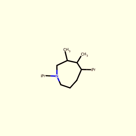 CC(C)C1CCCN(C(C)C)CC(C)C1C